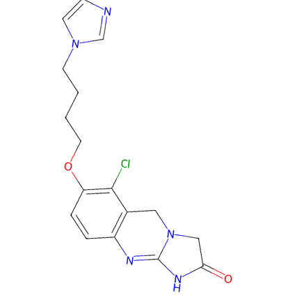 O=C1CN2Cc3c(ccc(OCCCCn4ccnc4)c3Cl)N=C2N1